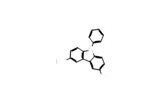 Cc1ccc2c(c1)c1cc(Br)ccc1n2-c1ccccc1